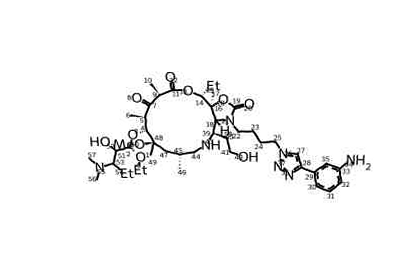 CCO[C@@H](O[C@@H]1[C@@H](C)C(=O)[C@@H](C)C(=O)O[C@H](CC)[C@@]2(C)OC(=O)N(CCCCn3cc(-c4cccc(N)c4)nn3)[C@@H]2[C@@H](CCO)NC[C@H](C)C[C@@]1(C)OC)C(O)C(CC)N(C)C